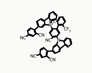 N#Cc1ccc(-c2ccc3c4ccccc4n(-c4cc(-c5c(C(F)(F)F)cccc5C(F)(F)F)c(-n5c6ccccc6c6ccc(-c7ccc(C#N)cc7C#N)cc65)cc4C#N)c3c2)c(C#N)c1